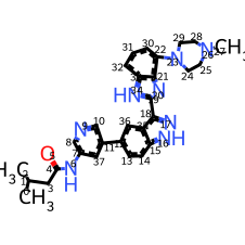 CC(C)CC(=O)Nc1cncc(-c2ccc3[nH]nc(-c4nc5c(N6CCN(C)CC6)cccc5[nH]4)c3c2)c1